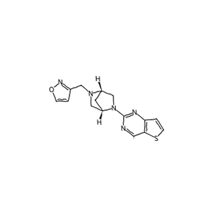 [c]1nc(N2C[C@@H]3C[C@H]2CN3Cc2ccon2)nc2ccsc12